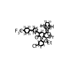 CCOc1ccc(Cl)cc1-n1c(CC(C)C)c(C(=O)N2C[C@H]3CC[C@@H](C2)N3)cc(-c2nc(-c3ccc(C(F)(F)F)cc3)cs2)c1=O